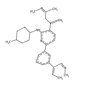 C=C(C/C(C)=N\C)c1ccc(-c2cccc(C(/C=N\C)=C/C)c2)nc1NC1CCC(C)CC1